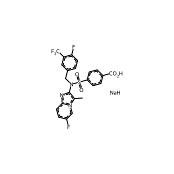 Cc1c(N(Cc2ccc(F)c(C(F)(F)F)c2)S(=O)(=O)c2ccc(C(=O)O)cc2)nc2ccc(F)cn12.[NaH]